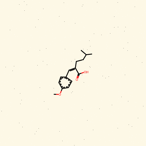 COc1ccc(C=C(CCC(C)C)C(=O)O)cc1